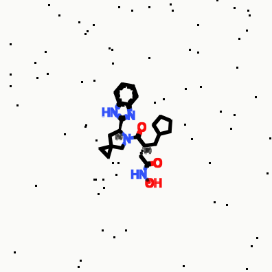 O=C(C[C@@H](CC1CCCC1)C(=O)N1CC2(CC2)C[C@H]1c1nc2ccccc2[nH]1)NO